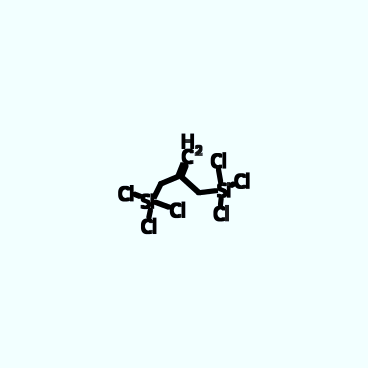 C=C(C[Si](Cl)(Cl)Cl)C[Si](Cl)(Cl)Cl